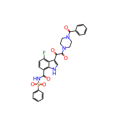 O=C(NS(=O)(=O)c1ccccc1)c1ccc(F)c2c(C(=O)C(=O)N3CCN(C(=O)c4ccccc4)CC3)c[nH]c12